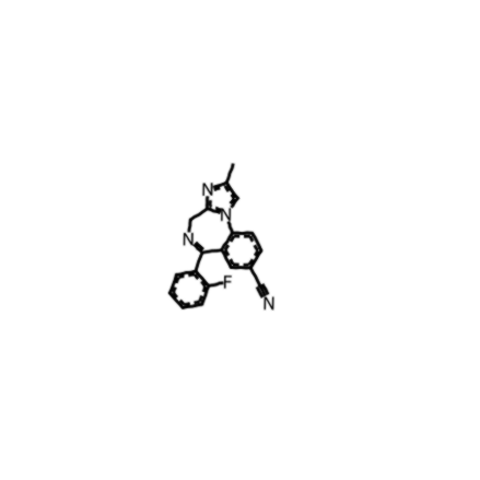 Cc1cn2c(n1)CN=C(c1ccccc1F)c1cc(C#N)ccc1-2